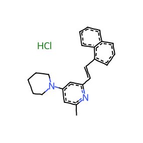 Cc1cc(N2CCCCC2)cc(C=Cc2cccc3ccccc23)n1.Cl